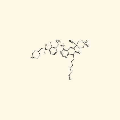 C[C@@H](Nc1ncnc2c1cc(C1(C#N)CCS(=O)(=O)CC1)c(=O)n2CCCCCC=O)c1cccc(C(F)(F)CC2CCNCC2)c1F